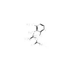 Cc1cccc(Br)c1NC(=N)NC(N)=O